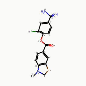 CCN1CSc2cc(C(=O)Oc3ccc(C(=N)N)cc3F)ccc21